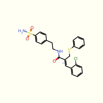 NS(=O)(=O)c1ccc(CCNC(=O)/C(=C/c2ccccc2Cl)CSc2ccccc2)cc1